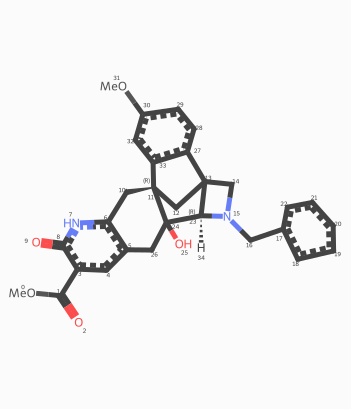 COC(=O)c1cc2c([nH]c1=O)C[C@@]13CC4(CN(Cc5ccccc5)[C@H]4C1(O)C2)c1ccc(OC)cc13